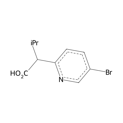 CC(C)C(C(=O)O)c1ccc(Br)cn1